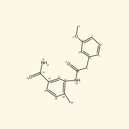 COc1cccc(CC(=O)Nc2cc(C(N)=O)ccc2C)c1